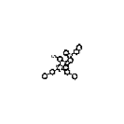 Nc1ccc(-n2c3ccccc3c3ccc4c(c5ccccc5n4-c4ccc5ccccc5c4)c32)c(C2=NC(c3ccc(-c4ccccc4)cc3)=NC(c3ccc(-c4ccccc4)cc3)N2)c1